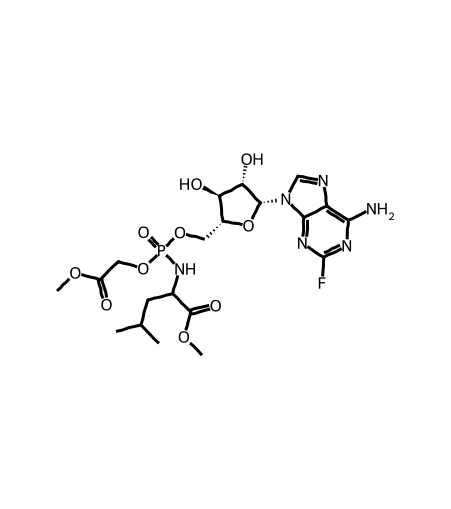 COC(=O)COP(=O)(NC(CC(C)C)C(=O)OC)OC[C@H]1O[C@@H](n2cnc3c(N)nc(F)nc32)[C@@H](O)[C@@H]1O